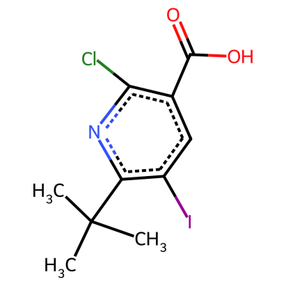 CC(C)(C)c1nc(Cl)c(C(=O)O)cc1I